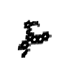 CN1CCC[C@H]1COc1nc2c(c(N3CCN[C@@H](CC#N)C3)n1)CC[C@@]1(CCc3ccccc3C1)C2